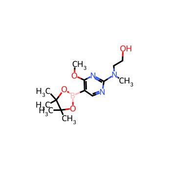 COc1nc(N(C)CCO)ncc1B1OC(C)(C)C(C)(C)O1